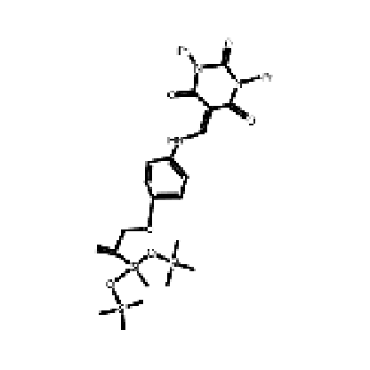 C=C(COc1ccc(NC=C2C(=O)N(C(C)C)C(=O)N(C(C)C)C2=O)cc1)[Si](C)(O[Si](C)(C)C)O[Si](C)(C)C